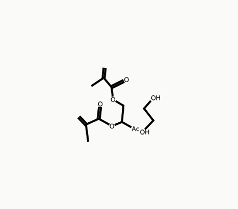 C=C(C)C(=O)OCC(OC(=O)C(=C)C)C(C)=O.OCCO